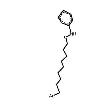 CC(=O)CCCCCCCCCONc1ccccc1